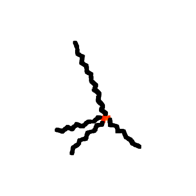 CCCCCCCCCCCCCCCC[PH](CCCCCCCCC)(CCCCCCCCC)CCCCCCCCC